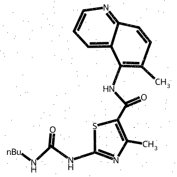 CCCCNC(=O)Nc1nc(C)c(C(=O)Nc2c(C)ccc3ncccc23)s1